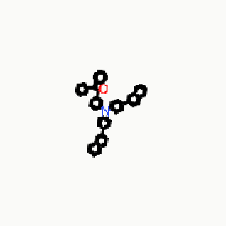 c1ccc(-c2c(-c3cccc(N(c4ccc(-c5ccc6ccccc6c5)cc4)c4ccc(-c5ccc6ccccc6c5)cc4)c3)oc3ccccc23)cc1